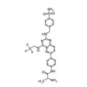 CC(N)C(=O)Nc1ccc(-c2ccc3nc(NCc4ccc(S(N)(=O)=O)cc4)nc(NCC(F)(F)F)c3n2)cc1